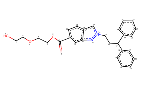 O=C(OCCOCCO)c1ccc2cn(CCC(c3ccccc3)c3ccccc3)nc2c1